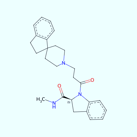 CNC(=O)[C@@H]1Cc2ccccc2N1C(=O)CCN1CCC2(CCc3ccccc32)CC1